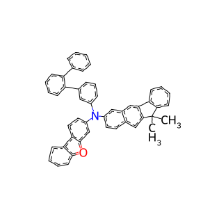 CC1(C)c2ccccc2-c2cc3cc(N(c4cccc(-c5ccccc5-c5ccccc5)c4)c4ccc5c(c4)oc4ccccc45)ccc3cc21